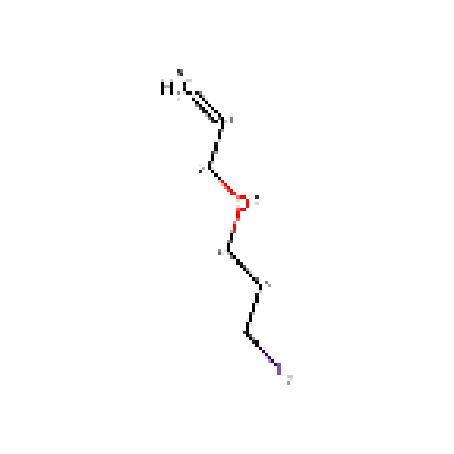 C=CCOCCCI